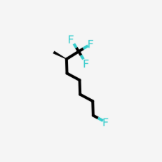 C[C@H](CCCCCF)C(F)(F)F